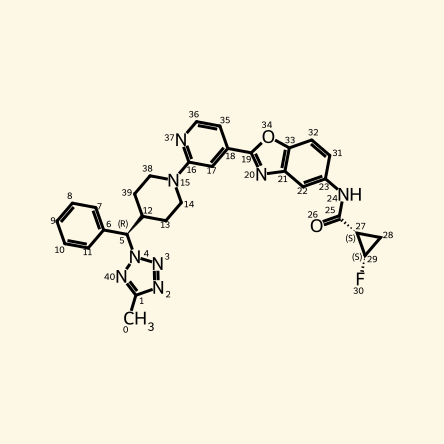 Cc1nnn([C@@H](c2ccccc2)C2CCN(c3cc(-c4nc5cc(NC(=O)[C@@H]6C[C@@H]6F)ccc5o4)ccn3)CC2)n1